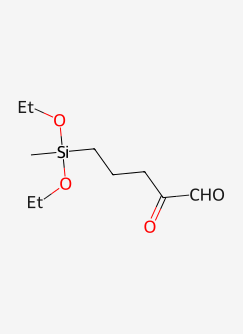 CCO[Si](C)(CCCC(=O)C=O)OCC